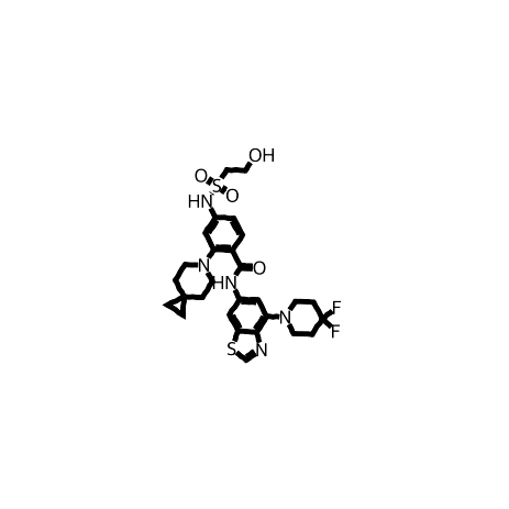 O=C(Nc1cc(N2CCC(F)(F)CC2)c2ncsc2c1)c1ccc(NS(=O)(=O)CCO)cc1N1CCC2(CC1)CC2